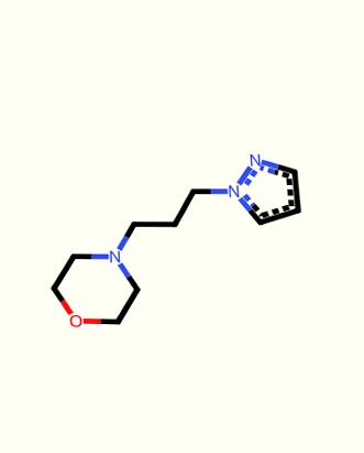 c1cnn(CCCN2CCOCC2)c1